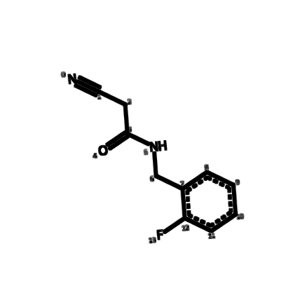 N#CCC(=O)NCc1ccccc1F